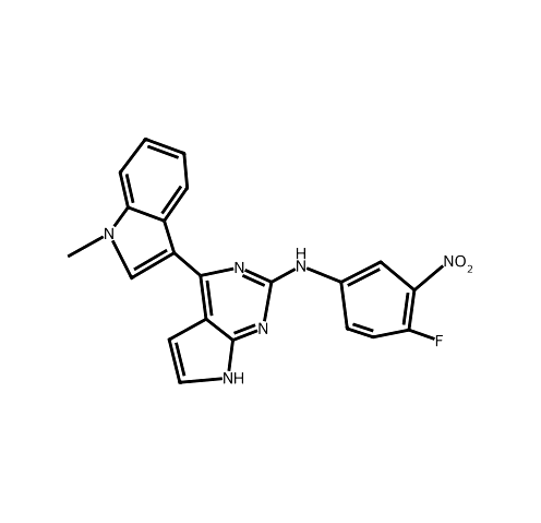 Cn1cc(-c2nc(Nc3ccc(F)c([N+](=O)[O-])c3)nc3[nH]ccc23)c2ccccc21